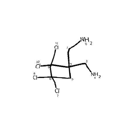 NCC1(CN)CC(Cl)(Cl)C1(Cl)Cl